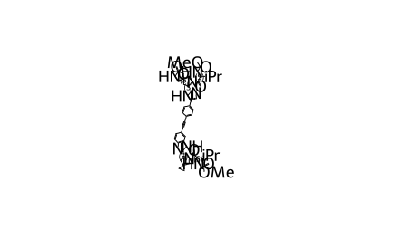 COC(=O)N[C@H](C(=O)N1C[C@@]2(CNC(=O)O2)C[C@H]1c1ncc(-c2ccc(C#Cc3ccc4nc([C@@H]5CC6(CC6)CN5C(=O)[C@@H](NC(=O)OC)C(C)C)[nH]c4c3)cc2)[nH]1)C(C)C